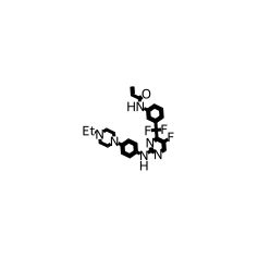 C=CC(=O)Nc1cccc(C(F)(F)c2nc(Nc3ccc(N4CCN(CC)CC4)cc3)ncc2F)c1